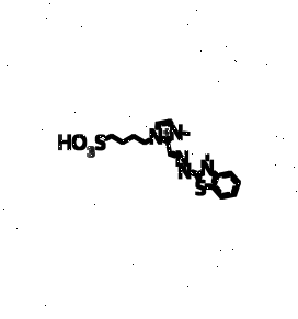 Cn1cc[n+](CCCCS(=O)(=O)O)c1C=NN=c1sc2ccccc2n1C